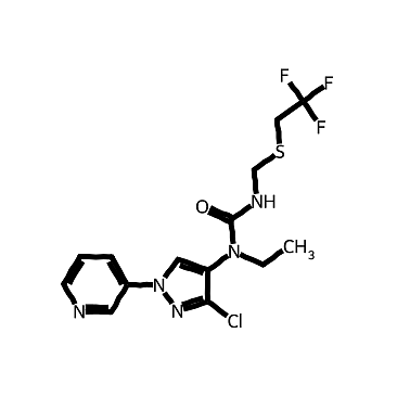 CCN(C(=O)NCSCC(F)(F)F)c1cn(-c2cccnc2)nc1Cl